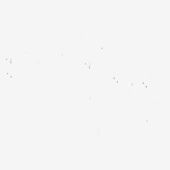 Cn1cc(C2CN(c3cc(Cl)c4cccnc4n3)CCO2)cn1